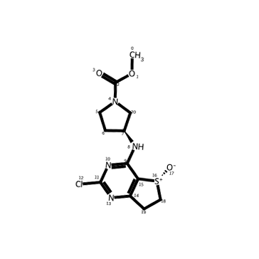 COC(=O)N1CC[C@H](Nc2nc(Cl)nc3c2[S@+]([O-])CC3)C1